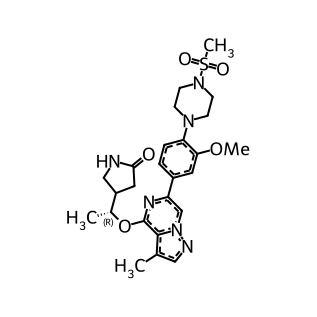 COc1cc(-c2cn3ncc(C)c3c(O[C@H](C)C3CNC(=O)C3)n2)ccc1N1CCN(S(C)(=O)=O)CC1